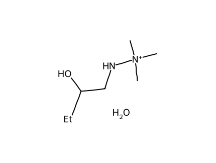 CCC(O)CN[N+](C)(C)C.O